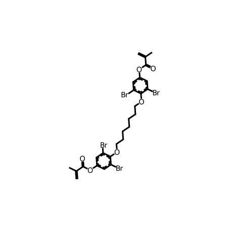 C=C(C)C(=O)Oc1cc(Br)c(OCCCCCCCOc2c(Br)cc(OC(=O)C(=C)C)cc2Br)c(Br)c1